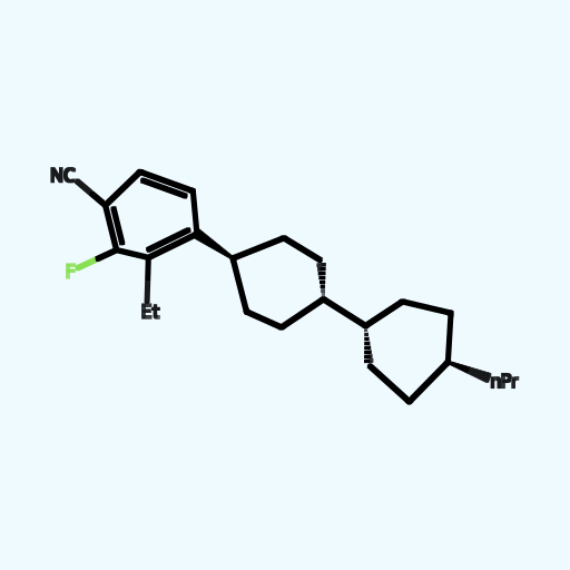 CCC[C@H]1CC[C@H]([C@H]2CC[C@H](c3ccc(C#N)c(F)c3CC)CC2)CC1